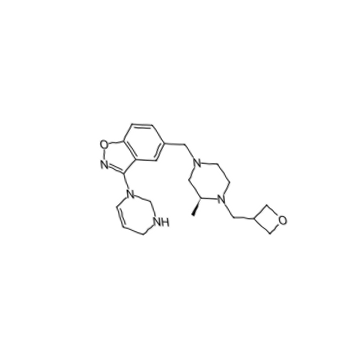 C[C@H]1CN(Cc2ccc3onc(N4C=CCNC4)c3c2)CCN1CC1COC1